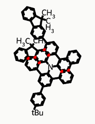 CC(C)(C)c1ccc(-c2cc(-c3ccccc3)c(N(c3ccc4c(c3)-c3ccccc3C4(C)C)c3ccc4ccccc4c3-c3ccc(-c4ccc5c(c4)C(C)(C)c4ccccc4-5)cc3)c(-c3ccccc3)c2)cc1